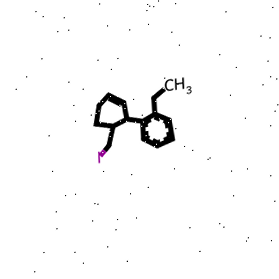 CCc1ccccc1C1C=CCCC1CI